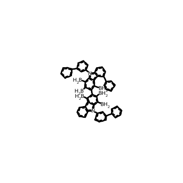 Bc1c(-c2c(B)c(B)c3c(c2B)c2c(-c4ccccc4)cccc2n3-c2cccc(-c3ccccc3)c2)c(B)c2c3ccccc3n(-c3cccc(-c4ccccc4)c3)c2c1B